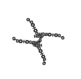 CC(C)(OCC(C)(C)N(CC(O)COc1ccc(C(C)(C)c2ccc(OCC3CO3)cc2)cc1)CC(O)COc1ccc(C(C)(C)c2ccc(OCC3CO3)cc2)cc1)OCC(C)(C)N(CC(O)COc1ccc(C(C)(C)c2ccc(OCC3CO3)cc2)cc1)CC(O)COc1ccc(C(C)(C)c2ccc(OCC3CO3)cc2)cc1